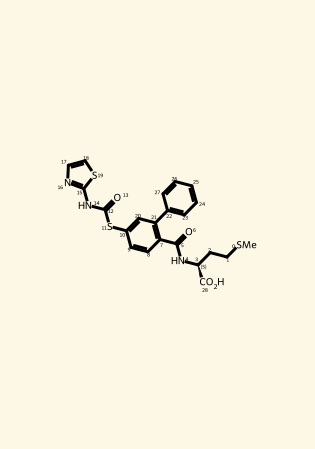 CSCC[C@H](NC(=O)c1ccc(SC(=O)Nc2nccs2)cc1-c1ccccc1)C(=O)O